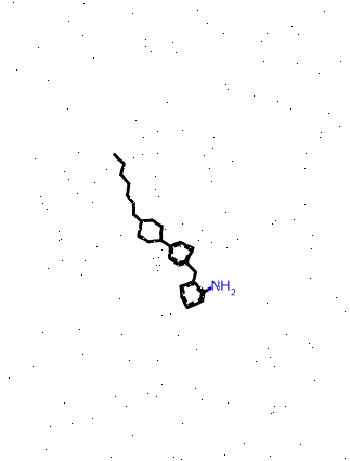 CCCCCCCC1CCC(c2ccc(Cc3ccccc3N)cc2)CC1